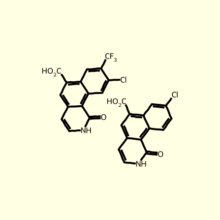 O=C(O)c1cc2cc[nH]c(=O)c2c2cc(Cl)c(C(F)(F)F)cc12.O=C(O)c1cc2cc[nH]c(=O)c2c2ccc(Cl)cc12